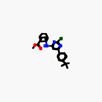 COC(=O)C1C2CCC(CC2)C1Nc1cc(-c2ccc(C(C)(C)C)cc2)nc(Cl)n1